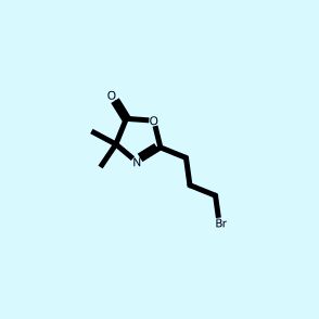 CC1(C)N=C(CCCBr)OC1=O